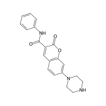 O=C(Nc1ccccc1)c1cc2ccc(N3CCNCC3)cc2oc1=O